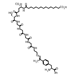 C/C(=N\OCCNC(=O)CNC(=O)CNC(=O)CNC(=O)CNC(=O)[C@H](CO)NC(=O)CC[C@H](NC(=O)CCCCCCCCCCCCCC(=O)O)C(=O)O)c1ccc(C[C@H](N)C(=O)C(C)C)cc1